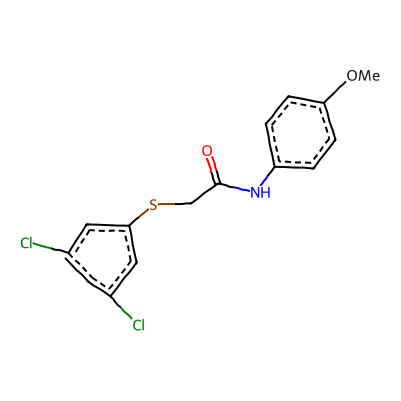 COc1ccc(NC(=O)CSc2cc(Cl)cc(Cl)c2)cc1